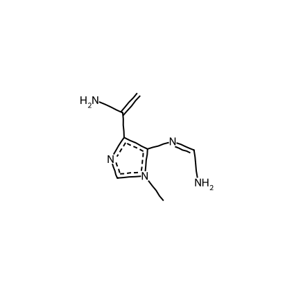 C=C(N)c1ncn(C)c1/N=C\N